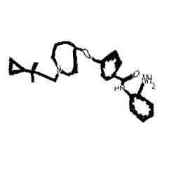 CC(C)(CN1CCCC(Oc2ccc(C(=O)Nc3ccccc3N)cc2)CC1)C1CC1